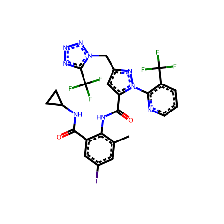 Cc1cc(I)cc(C(=O)NC2CC2)c1NC(=O)c1cc(Cn2nnnc2C(F)(F)F)nn1-c1ncccc1C(F)(F)F